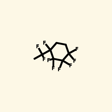 CC(F)(F)C1(F)CCC(F)(F)C(F)(F)C1(F)F